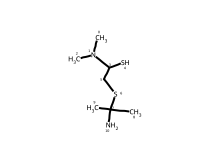 CN(C)C(S)CSC(C)(C)N